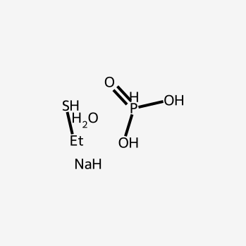 CCS.O.O=[PH](O)O.[NaH]